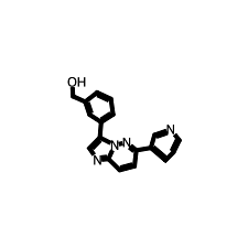 OCc1cccc(-c2cnc3ccc(-c4cccnc4)nn23)c1